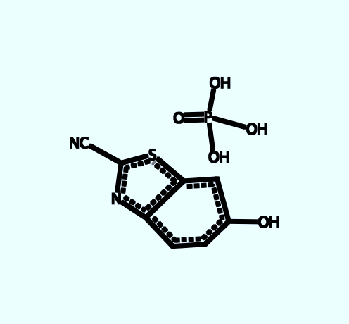 N#Cc1nc2ccc(O)cc2s1.O=P(O)(O)O